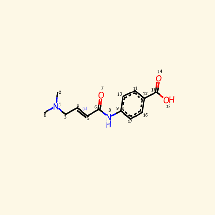 CN(C)C/C=C/C(=O)Nc1ccc(C(=O)O)cc1